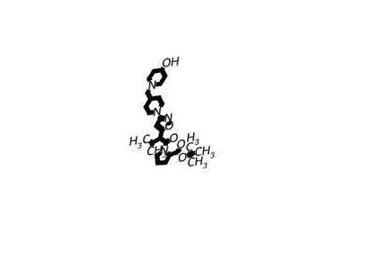 CC(C)C(C(=O)N1CCCC1C(=O)OC(C)(C)C)c1cc(N2CCC(CN3CCC(O)CC3)CC2)no1